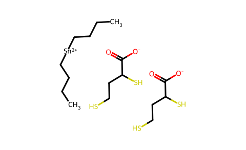 CCC[CH2][Sn+2][CH2]CCC.O=C([O-])C(S)CCS.O=C([O-])C(S)CCS